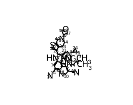 CC(C)(C)CNc1c(C#N)cnc2c(C#N)cc(NC(c3cn(C4CC4)nn3)c3csc4c3CCN(C3COC3)C4)cc12